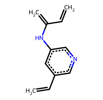 C=CC(=C)Nc1cncc(C=C)c1